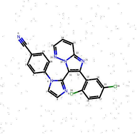 N#Cc1ccc(-n2ccnc2-c2c(-c3cc(Cl)ccc3Cl)nc3cccnn23)cc1